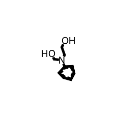 OCCN(CO)c1ccccc1